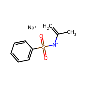 C=C(C)[N-]S(=O)(=O)c1ccccc1.[Na+]